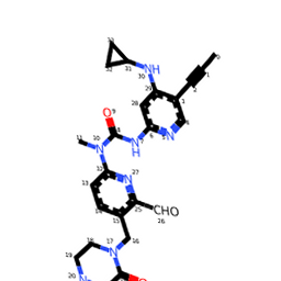 CC#Cc1cnc(NC(=O)N(C)c2ccc(CN3CCN(C)CC3=O)c(C=O)n2)cc1NC1CC1